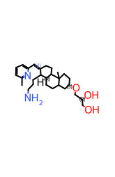 Cc1cccc(/C=C2/CCC3[C@@H](CCC4C[C@@H](OC[C@H](O)CO)CCC43C)C2CCCN)n1